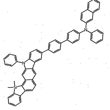 C[Si]1(C)c2ccccc2-c2ccc3cc4c5cc(-c6ccc(-c7ccc(N(c8ccccc8)c8ccc9ccccc9c8)cc7)cc6)ccc5n(-c5ccccc5)c4cc3c21